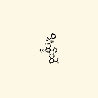 Cc1nc(CC(=O)NC2(c3ccccc3)CC2)c(C2CCCO2)c(NCc2cccc(C(F)F)c2F)n1